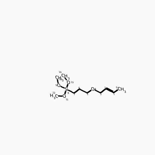 CC=CCOCCC[Si](OC)(OC)OC